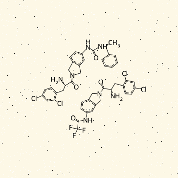 C[C@H](NC(=O)Nc1ccc2c(c1)CN(C(=O)[C@H](N)Cc1ccc(Cl)cc1Cl)C2)c1ccccc1.N[C@H](Cc1ccc(Cl)cc1Cl)C(=O)N1Cc2ccc(NC(=O)C(F)(F)F)cc2C1